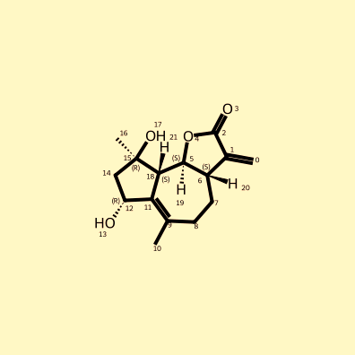 C=C1C(=O)O[C@H]2[C@H]1CCC(C)=C1[C@H](O)C[C@@](C)(O)[C@@H]12